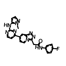 Cn1nccc1Nc1nccc(-c2ccn3c(CC(=O)Nc4ccc(F)cc4)nnc3c2)n1